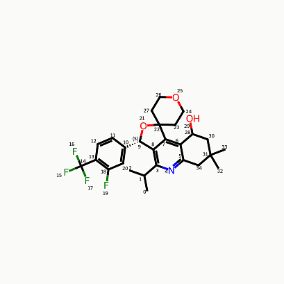 CC(C)c1nc2c(c3c1[C@H](c1ccc(C(F)(F)F)c(F)c1)OC31CCOCC1)C(O)CC(C)(C)C2